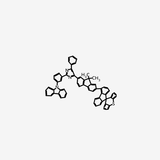 CC1(C)c2cc(-c3cc(-c4ccccc4)nc(-c4cccc(-n5c6ccccc6c6ccccc65)c4)n3)ccc2-c2ccc(-c3cccc4c3-c3ccccc3C43c4ccccc4Sc4ccccc43)cc21